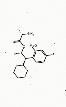 COc1cc(F)ccc1[C@@H](C1CCCCC1)[C@H](C)OC(=O)[C@H](C)N